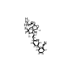 C[C@H]1OC(=O)[C@]2(C(=O)NN)CC(F)(F)[C@@H](C)[C@H](C=Cc3ccc(-c4ccccc4C#N)cn3)[C@H]12